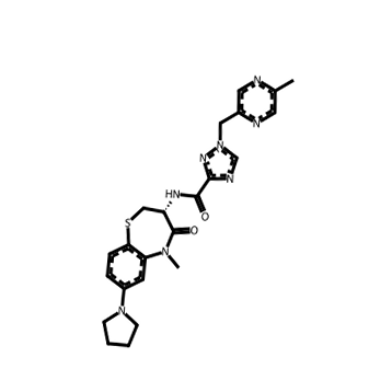 Cc1cnc(Cn2cnc(C(=O)N[C@H]3CSc4ccc(N5CCCC5)cc4N(C)C3=O)n2)cn1